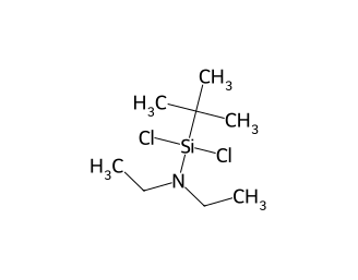 CCN(CC)[Si](Cl)(Cl)C(C)(C)C